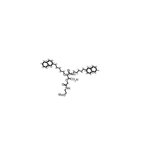 COCCNC(=O)COC(C(=O)O)C(OCCCCCc1ccc2ccccc2c1)C(=O)NCCCCCc1ccc2ccccc2c1